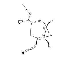 COC(=O)C1=C[C@@H]2C[C@@H]2[C@@H](N=[N+]=[N-])C1